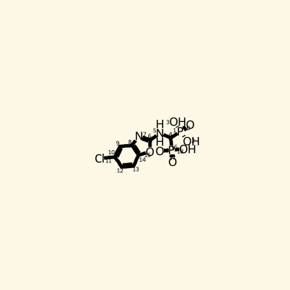 O=P(O)(O)C(Nc1nc2cc(Cl)ccc2o1)P(=O)(O)O